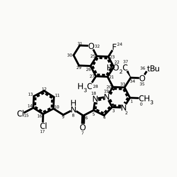 Cc1nc2cc(C(=O)NCc3cccc(Cl)c3Cl)nn2c(-c2cc(F)c3c(c2C)CCCO3)c1[C@H](OC(C)(C)C)C(=O)O